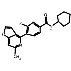 Cc1cc2occc2c(-c2ccc(C(=O)NC3CCCCC3)cc2F)n1